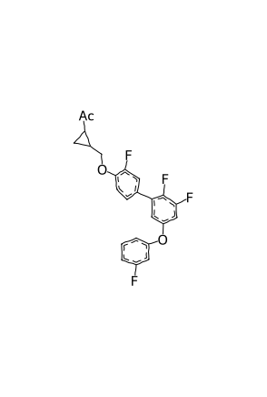 CC(=O)C1CC1COc1ccc(-c2cc(Oc3cccc(F)c3)cc(F)c2F)cc1F